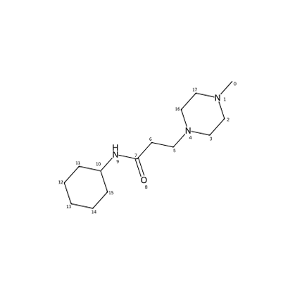 CN1CCN(CCC(=O)NC2CCCCC2)CC1